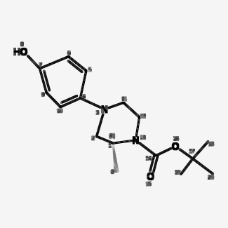 C[C@@H]1CN(c2ccc(O)cc2)CCN1C(=O)OC(C)(C)C